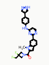 Cn1c(C(=O)N2CC(F)(CF)C2)cc2ccc(-c3nccc(Nc4ccc(-c5cn[nH]c5)cc4)n3)cc21